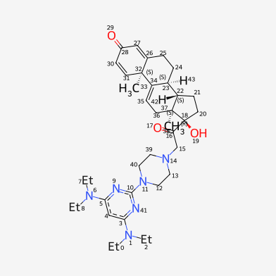 CCN(CC)c1cc(N(CC)CC)nc(N2CCN(CC(=O)[C@@]3(O)CC[C@H]4[C@@H]5CCC6=CC(=O)C=C[C@]6(C)C5=CC[C@@]43C)CC2)n1